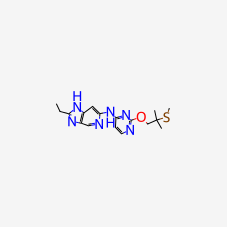 CCc1nc2cnc(Nc3ccnc(OCC(C)(C)SC)n3)cc2[nH]1